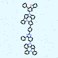 c1ccc(-c2nc(-c3ccc(-c4ccc5c6cccc7c6c6c(ccc8c9ccccc9n(c5c4)c86)n7-c4cc(-c5ccccc5)c5oc6ccccc6c5c4)cc3)nc3ccc(-n4c5cccc6c7ccccc7n7c8ccccc8c8ccc4c(c65)c87)cc23)cc1